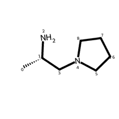 C[C@H](N)CN1C[CH]CC1